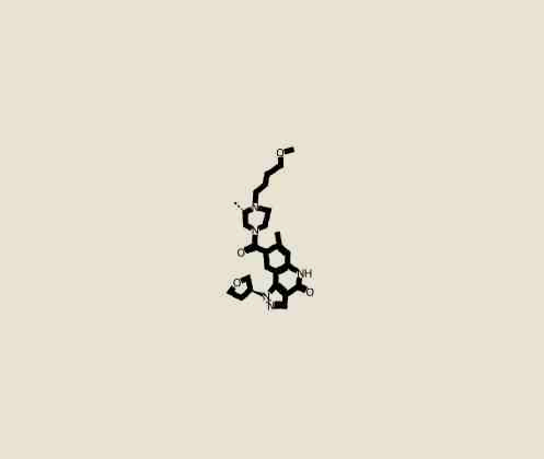 COCCCCN1CCN(C(=O)C2Cc3c([nH]c(=O)c4cnn([C@H]5CCOC5)c34)C=C2C)C[C@@H]1C